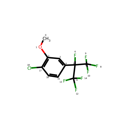 COc1cc(C(F)(C(F)(F)F)C(F)(F)F)ccc1Cl